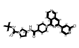 CC(C)(C)OC(=O)N1CC[C@@H](NC(=O)C2CCN(c3nc(-c4ccnc(Cl)c4)cc4cnccc34)CC2)C1